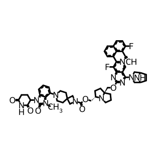 C#Cc1c(F)ccc2cccc(-c3ncc4c(N5CC6CCC(C5)N6)nc(OC[C@@]56CCCN5[C@H](COC(=O)N5CC7(CCN(c8cccc9c8n(C)c(=O)n9C8CCC(=O)NC8=O)CC7)C5)CC6)nc4c3F)c12